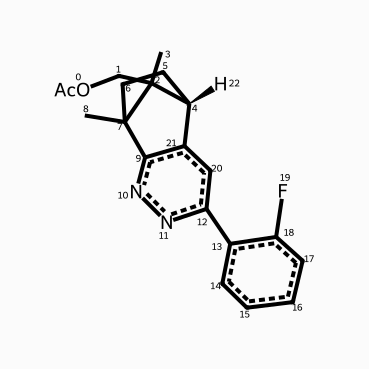 CC(=O)OCC1(C)[C@@H]2CCC1(C)c1nnc(-c3ccccc3F)cc12